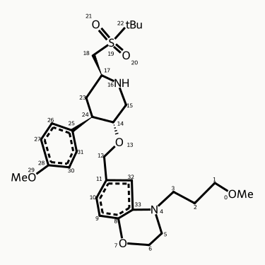 COCCCN1CCOc2ccc(CO[C@H]3CN[C@H](CS(=O)(=O)C(C)(C)C)C[C@@H]3c3ccc(OC)cc3)cc21